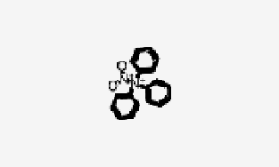 O=[N+]([O-])[N+](c1ccccc1)(c1ccccc1)c1ccccc1